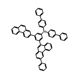 c1ccc(-c2ccc(N(c3ccc(-c4ccccc4)cc3)c3cc(-c4ccc5c(ccc6ccccc65)c4)cc(-c4cc5ccc(-c6ccccc6)cc5c5ccccc45)c3)cc2)cc1